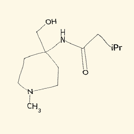 CC(C)CC(=O)NC1(CO)CCN(C)CC1